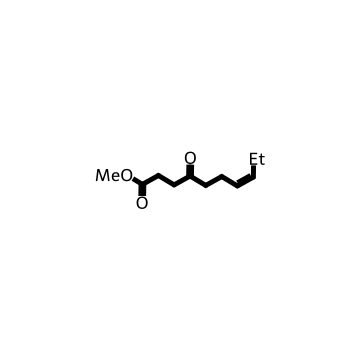 CC/C=C\CCC(=O)CCC(=O)OC